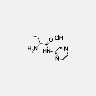 CCC(N)C(=O)Nc1cnccn1.Cl